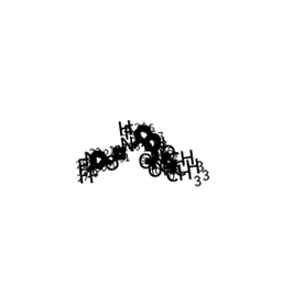 CC(C)(C)OC(=O)N(C(=O)O)c1cc2c(CN[C@H]3C[C@H](Oc4ccnc(C(F)(F)F)c4)C3)c(F)ccc2cn1